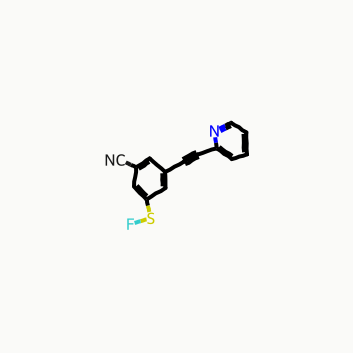 N#Cc1cc(C#Cc2ccccn2)cc(SF)c1